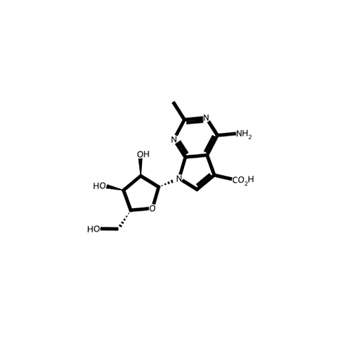 Cc1nc(N)c2c(C(=O)O)cn([C@@H]3O[C@H](CO)[C@@H](O)[C@H]3O)c2n1